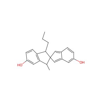 CCCC1c2ccc(O)cc2C(C)C12C=c1ccc(O)cc1=C2